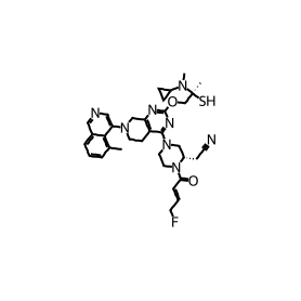 Cc1cccc2cncc(N3CCc4c(nc(OC[C@](C)(S)N(C)C5CC5)nc4N4CCN(C(=O)/C=C/CF)[C@@H](CC#N)C4)C3)c12